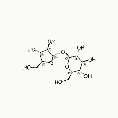 OC[C@@H]1O[C@@H](O[C@@H]2O[C@H](CO)[C@@H](O)[C@H](O)[C@H]2O)[C@H](O)[C@H]1O